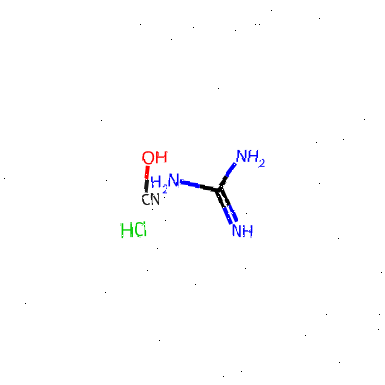 Cl.N#CO.N=C(N)N